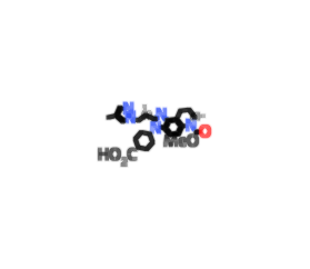 COC(=O)N1c2ccc3c(nc([C@@H](C)Cn4cc(C)cn4)n3C3CCC(C(=O)O)CC3)c2CC[C@@H]1C